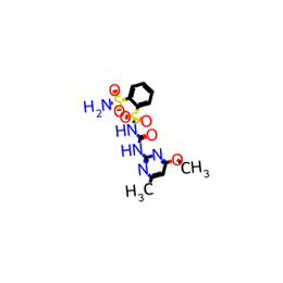 COc1cc(C)nc(NC(=O)NS(=O)(=O)c2ccccc2S(N)(=O)=O)n1